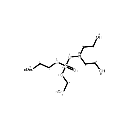 CCCCCCCCCCCCOP(=O)(OCCCCCCCCCCC)ON(CCO)CCO